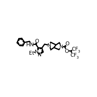 CCn1ncc(CN2CC3CN(C(=O)OC(C(F)(F)F)C(F)(F)F)CC3C2)c1C(=O)NCc1ccccc1